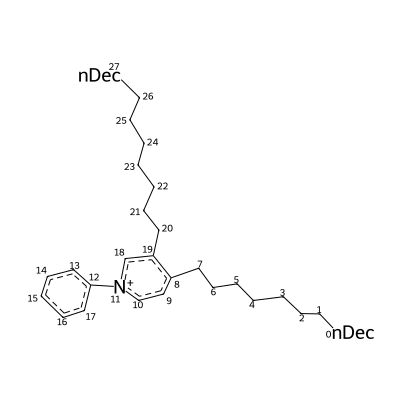 CCCCCCCCCCCCCCCCCc1cc[n+](-c2ccccc2)cc1CCCCCCCCCCCCCCCCC